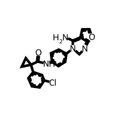 NC1=c2ccoc2=NCN1c1ccc(NC(=O)C2(c3cccc(Cl)c3)CC2)cc1